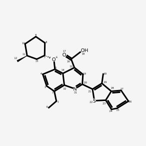 CCc1ccc(O[C@H]2CCC[C@H](C)C2)c2c(C(=O)O)cc(-c3sc4ccccc4c3C)nc12